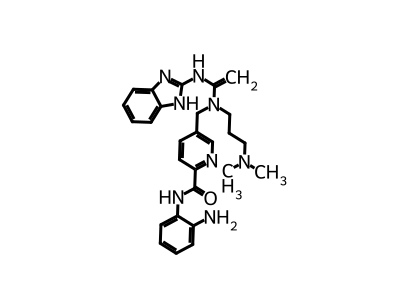 C=C(Nc1nc2ccccc2[nH]1)N(CCCN(C)C)Cc1ccc(C(=O)Nc2ccccc2N)nc1